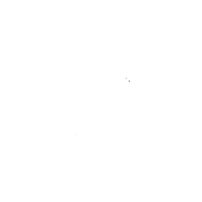 C=C(C)CCCCNCCC